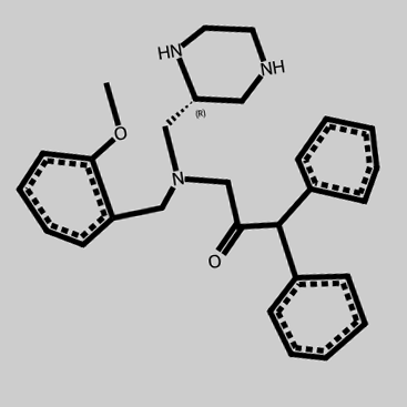 COc1ccccc1CN(CC(=O)C(c1ccccc1)c1ccccc1)C[C@H]1CNCCN1